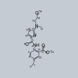 CCc1ccc(NC(=O)c2csc(N(C)CCOC)n2)c(C(=O)OC)c1